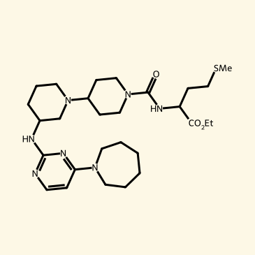 CCOC(=O)C(CCSC)NC(=O)N1CCC(N2CCCC(Nc3nccc(N4CCCCCC4)n3)C2)CC1